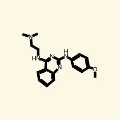 COc1ccc(Nc2nc(NCCN(C)C)c3ccccc3n2)cc1